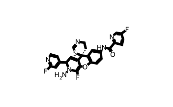 NN1C(F)=C2Oc3ccc(NC(=O)c4ccc(F)cn4)cc3[C@@]3(CCN=CS3)C2=CC1c1ccnc(F)c1